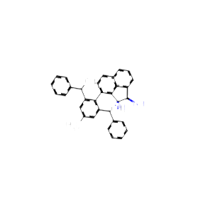 Cc1cc(C(C)c2ccccc2)c(-c2ccc3cccc4c3c2C(=N)C4=N)c(C(C)c2ccccc2)c1